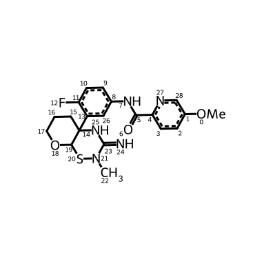 COc1ccc(C(=O)Nc2ccc(F)c(C34CCCOC3SN(C)C(=N)N4)c2)nc1